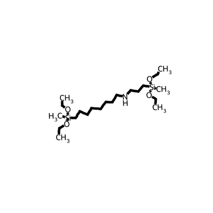 CCO[Si](C)(CCCCCCCCNCCC[Si](C)(OCC)OCC)OCC